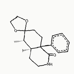 C[C@@H]1C2(CCC3(c4ccccc4)C(=O)NCC[C@@]13I)OCCO2